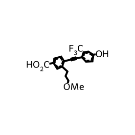 COCCCc1cc(C(=O)O)ccc1C#Cc1ccc(O)cc1C(F)(F)F